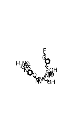 NS(=O)(=O)c1nc2ccc(OCc3cn([C@@H](CCO)CN[C@H](CSCc4cccc(OCCF)c4)C(=O)O)nn3)cc2s1